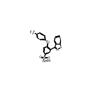 CNS(=O)(=O)c1ccc(Oc2ccc(C(F)(F)F)cc2)c(-c2nsc3ccccc23)c1